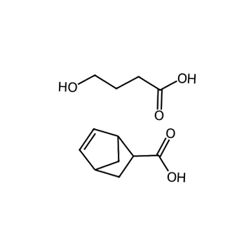 O=C(O)C1CC2C=CC1C2.O=C(O)CCCO